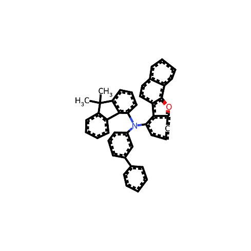 CC1(C)c2ccccc2-c2c(N(c3cccc(-c4ccccc4)c3)c3cccc4oc5c6ccccc6ccc5c34)cccc21